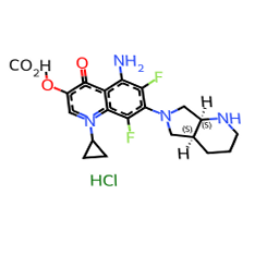 Cl.Nc1c(F)c(N2C[C@@H]3CCCN[C@@H]3C2)c(F)c2c1c(=O)c(OC(=O)O)cn2C1CC1